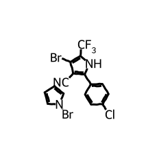 Brn1cccc1.N#Cc1c(-c2ccc(Cl)cc2)[nH]c(C(F)(F)F)c1Br